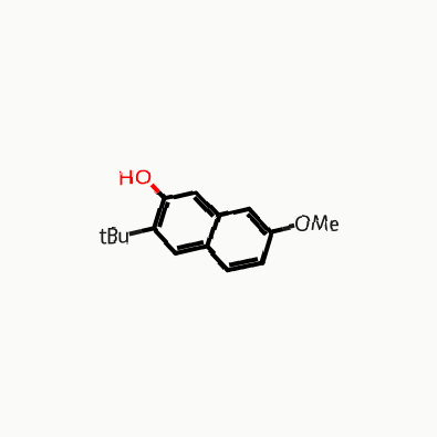 COc1ccc2cc(C(C)(C)C)c(O)cc2c1